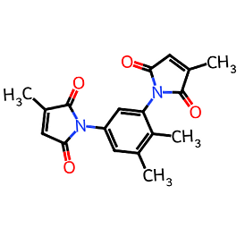 CC1=CC(=O)N(c2cc(C)c(C)c(N3C(=O)C=C(C)C3=O)c2)C1=O